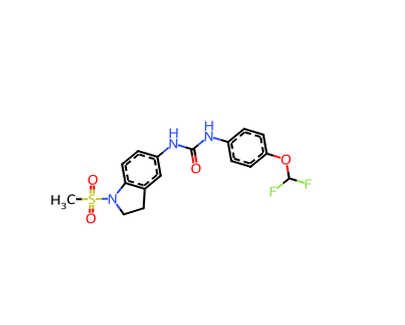 CS(=O)(=O)N1CCc2cc(NC(=O)Nc3ccc(OC(F)F)cc3)ccc21